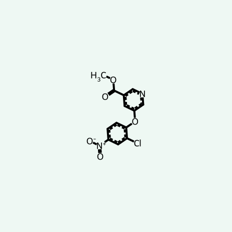 COC(=O)c1cncc(Oc2ccc([N+](=O)[O-])cc2Cl)c1